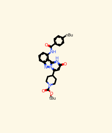 CCCCc1ccc(C(=O)Nc2cccc3nn4c(C5CCN(C(=O)OC(C)(C)C)CC5)cc(=O)[nH]c4c23)cc1